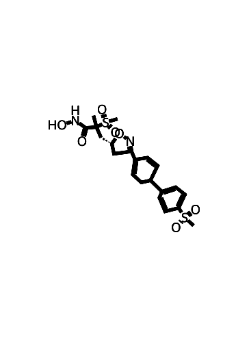 CC(C[C@H]1CC(C2=CCC(c3ccc(S(C)(=O)=O)cc3)C=C2)=NO1)(C(=O)NO)S(C)(=O)=O